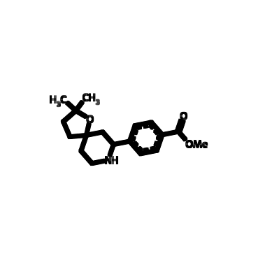 COC(=O)c1ccc(C2CC3(CCN2)CCC(C)(C)O3)cc1